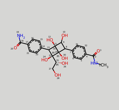 CNC(=O)c1ccc(C2C(O)[C@@]3(O)C(c4ccc(C(N)=O)cc4)[C@@](O)([C@H](O)CO)[C@@]23O)cc1